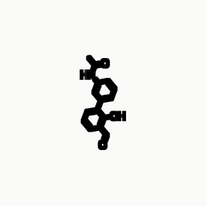 CC(=O)Nc1cccc(-c2cccc(C=O)c2O)c1